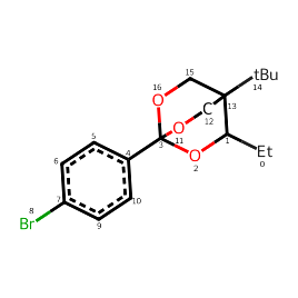 CCC1OC2(c3ccc(Br)cc3)OCC1(C(C)(C)C)CO2